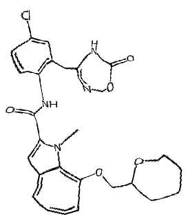 Cn1c(C(=O)Nc2ccc(Cl)cc2-c2noc(=O)[nH]2)cc2cccc(OCC3CCCCO3)c21